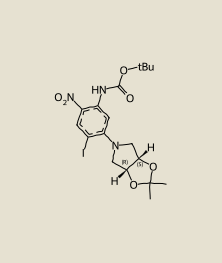 CC(C)(C)OC(=O)Nc1cc(N2C[C@@H]3OC(C)(C)O[C@@H]3C2)c(I)cc1[N+](=O)[O-]